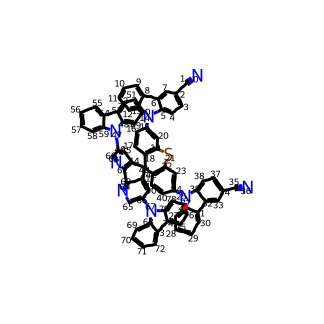 N#Cc1ccc2c(c1)c1ccccc1n2-c1ccc2c(c1)Sc1cc(-n3c4ccccc4c4cc(C#N)ccc43)ccc1C21c2cc(-n3c4ccccc4c4ccccc43)cnc2-c2ncc(-n3c4ccccc4c4ccccc43)cc21